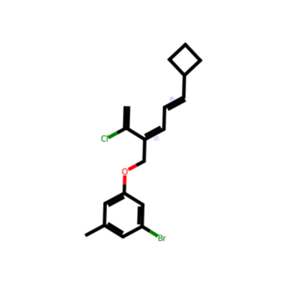 C=C(Cl)/C(=C\C=C\C1CCC1)COc1cc(C)cc(Br)c1